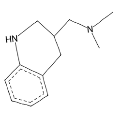 CN(C)CC1CNc2ccccc2C1